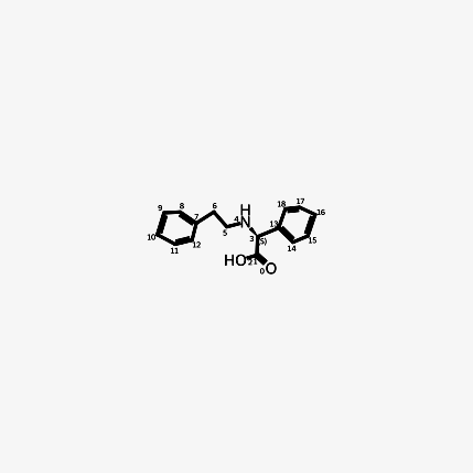 O=C(O)[C@@H](NCCc1ccccc1)c1ccccc1